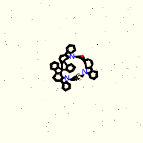 CC1C2=CC=Cc3c4n(c5ccccc35)-c3ccc(cc3)-n3c5ccccc5c5ccc6c(c53)C3(c5ccccc5-6)c5ccccc5-c5c3ccc3c6ccccc6n(c53)C1=CC=CC24